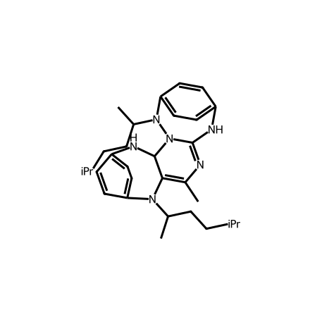 CC1=C2C(Nc3ccc(cc3)N2C(C)CCC(C)C)N2C(=N1)Nc1ccc(cc1)N2C(C)CCC(C)C